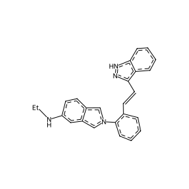 CCNc1ccc2cn(-c3ccccc3C=Cc3n[nH]c4ccccc34)cc2c1